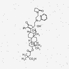 CC(C)C1=C2[C@H]3CC[C@@H]4[C@@]5(C)CC[C@H](OC(=O)CC(C)(C)C(=O)O)C(C)(C)[C@@H]5CC[C@@]4(C)[C@]3(C)CC[C@@]2([C@@H](O)CN(CCN2CCCC2=O)Cc2ccccn2)CC1=O